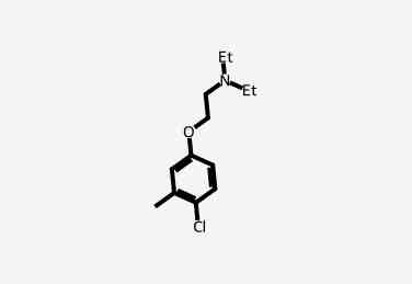 CCN(CC)CCOc1ccc(Cl)c(C)c1